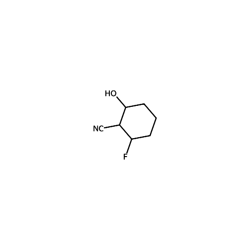 N#CC1C(O)CCCC1F